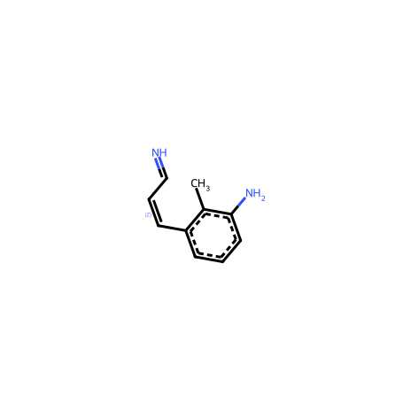 Cc1c(N)cccc1/C=C\C=N